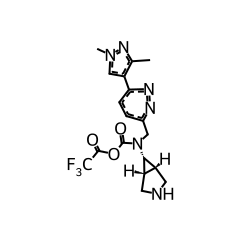 Cc1nn(C)cc1-c1ccc(CN(C(=O)OC(=O)C(F)(F)F)[C@@H]2[C@@H]3CNC[C@@H]32)nn1